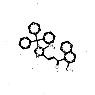 Cc1ccc2ccccc2c1C(=O)/C=C/c1ncn(C(c2ccccc2)(c2ccccc2)c2ccccc2)c1C